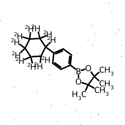 [2H]C1([2H])C([2H])([2H])C([2H])([2H])C([2H])(c2ccc(B3OC(C)(C)C(C)(C)O3)cc2)C([2H])([2H])C1([2H])[2H]